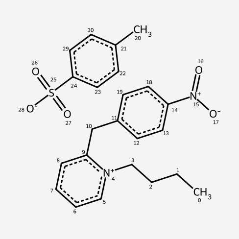 CCCC[n+]1ccccc1Cc1ccc([N+](=O)[O-])cc1.Cc1ccc(S(=O)(=O)[O-])cc1